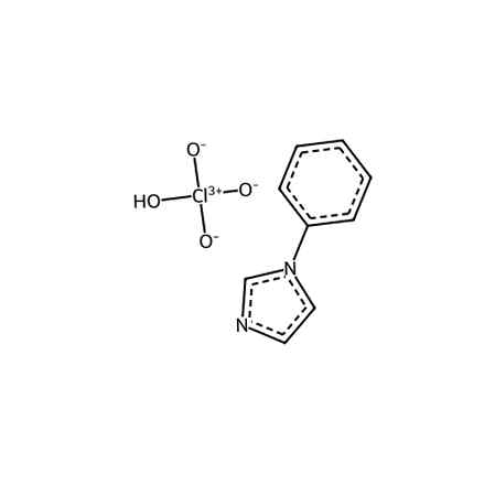 [O-][Cl+3]([O-])([O-])O.c1ccc(-n2ccnc2)cc1